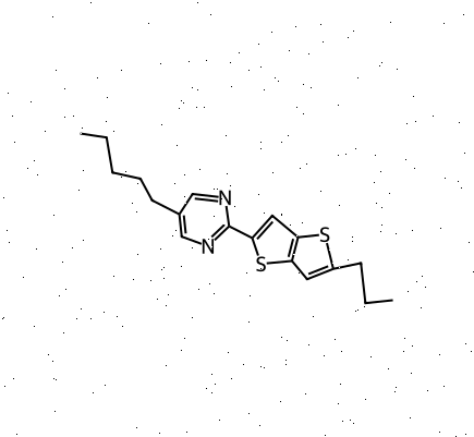 CCCCCc1cnc(-c2cc3sc(CCC)cc3s2)nc1